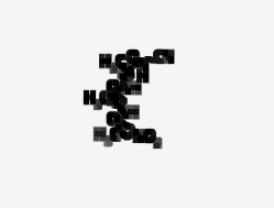 Cn1cc(NC(=O)c2cc(NC(=O)c3cc([N+](=O)[O-])cn3C)cn2C)cc1C(=O)NCCC#N